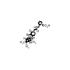 C[C@H]1[C@H]2C[C@H](C[C@H]1Nc1cnn(CC(=O)NC[C@H]3CCCN3C(=O)O)c(=O)c1Br)C2(C)C